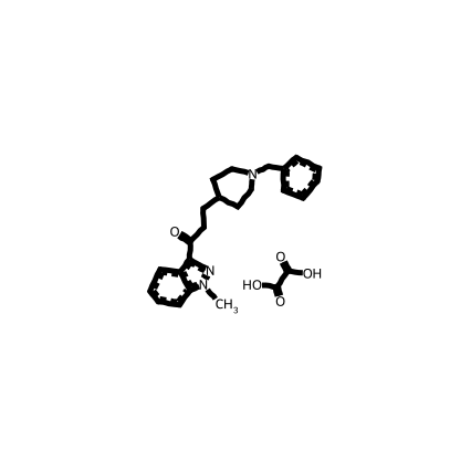 Cn1nc(C(=O)CCC2CCN(Cc3ccccc3)CC2)c2ccccc21.O=C(O)C(=O)O